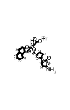 CC(C)OC(=O)CNP(=O)(OC[C@@H]1CCC(n2ccc(N)nc2=O)S1)Oc1ccc2ccccc2c1